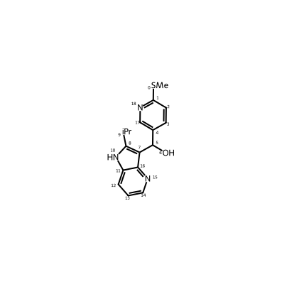 CSc1ccc(C(O)c2c(C(C)C)[nH]c3cccnc23)cn1